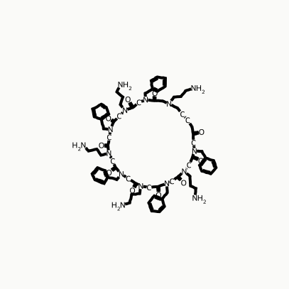 NCCCN1CCCCC(=O)CN(Cc2ccccc2)C(=O)CN(CCCN)C(=O)CN(Cc2ccccc2)C(=O)CN(CCCN)C(=O)CN(Cc2ccccc2)C(=O)CN(CCCN)C(=O)CN(Cc2ccccc2)C(=O)CN(CCCN)C(=O)CN(Cc2ccccc2)C(=O)C1